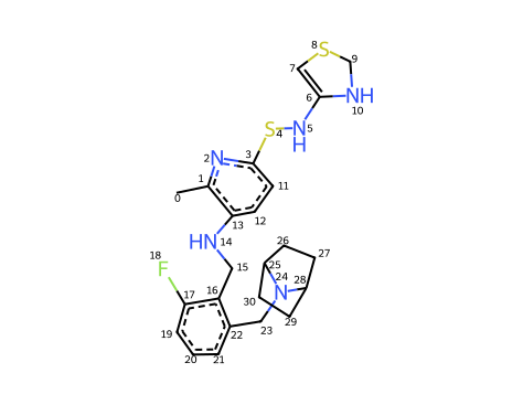 Cc1nc(SNC2=CSCN2)ccc1NCc1c(F)cccc1CN1C2CCC1CC2